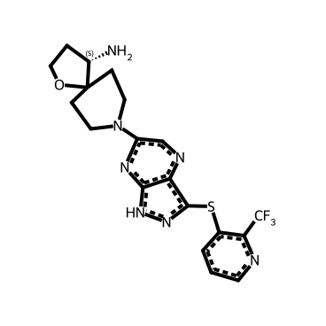 N[C@H]1CCOC12CCN(c1cnc3c(Sc4cccnc4C(F)(F)F)n[nH]c3n1)CC2